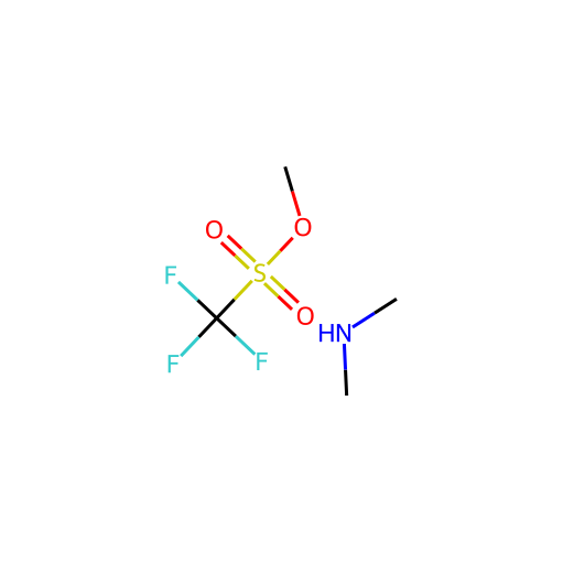 CNC.COS(=O)(=O)C(F)(F)F